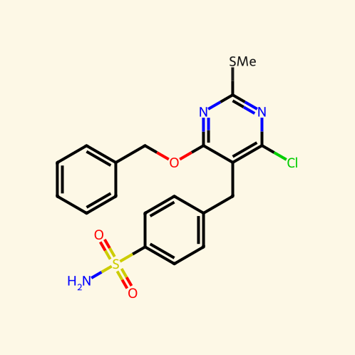 CSc1nc(Cl)c(Cc2ccc(S(N)(=O)=O)cc2)c(OCc2ccccc2)n1